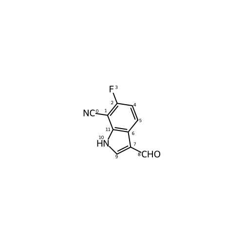 N#Cc1c(F)ccc2c(C=O)c[nH]c12